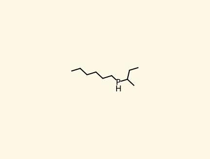 CCCCCCPC(C)CC